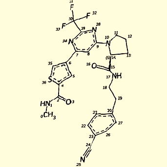 CNC(=O)c1cc(-c2cc(N3CCC[C@H]3C(=O)NCCc3ccc(C#N)cc3)nc(C(F)(F)F)n2)cs1